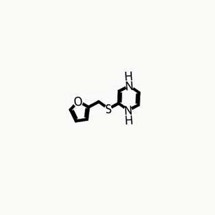 C1=CNC(SCc2ccco2)=CN1